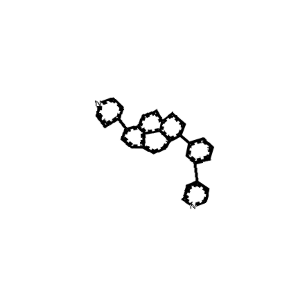 c1cc(-c2ccncc2)cc(-c2ccc3ccc4c(-c5ccncc5)ccc5ccc2c3c54)c1